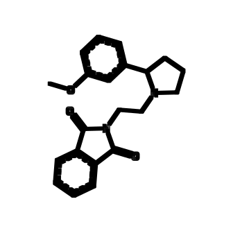 COc1cccc(C2CCCN2CCN2C(=O)c3ccccc3C2=O)c1